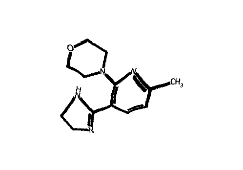 Cc1ccc(C2=NCCN2)c(N2CCOCC2)n1